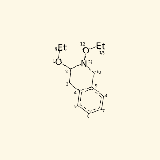 CCOC1Cc2ccccc2[C]N1OCC